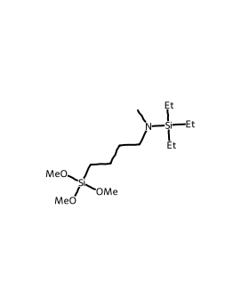 CC[Si](CC)(CC)N(C)CCCC[Si](OC)(OC)OC